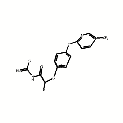 CC(Oc1ccc(Oc2ccc(C(F)(F)F)cn2)cc1)C(=O)NC(=N)S